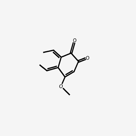 C/C=C1/C(=O)C(=O)C=C(OC)/C1=C/C